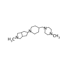 CN1CCN(CC2CCN(C3CC4CN(C)CC4C3)CC2)CC1